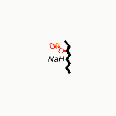 CCCCCC(CC)OP=O.[NaH]